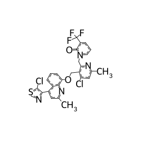 Cc1cc(Cl)c(COc2cccc3c(-c4ncsc4Cl)cc(C)nc23)c(Cn2cccc(C(F)(F)F)c2=O)n1